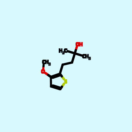 COc1ccsc1CCC(C)(C)O